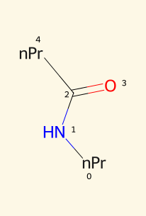 [CH2]CCNC(=O)CCC